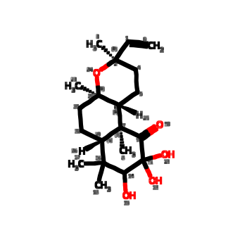 C=C[C@@]1(C)CC[C@@H]2[C@@]3(C)C(=O)C(O)(O)C(O)C(C)(C)[C@@H]3CC[C@@]2(C)O1